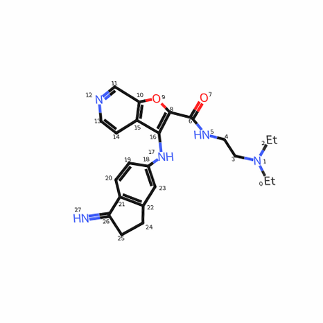 CCN(CC)CCNC(=O)c1oc2cnccc2c1Nc1ccc2c(c1)CCC2=N